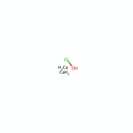 OCl.[CaH2].[CaH2]